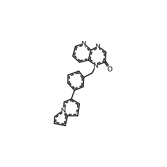 O=c1cnc2ncccc2n1Cc1cccc(-c2ccc3cccn3c2)c1